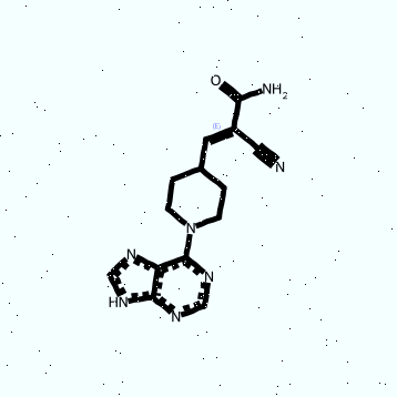 N#C/C(=C\C1CCN(c2ncnc3[nH]cnc23)CC1)C(N)=O